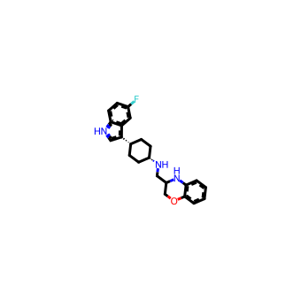 Fc1ccc2[nH]cc([C@H]3CC[C@@H](NCC4COc5ccccc5N4)CC3)c2c1